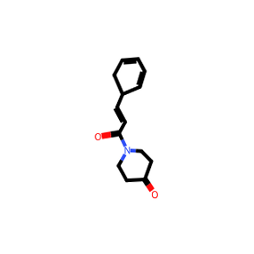 O=C1CCN(C(=O)C=CC2C=CC=CC2)CC1